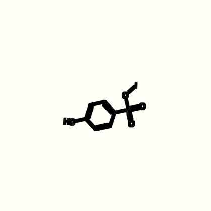 O=S(=O)(OI)c1ccc(O)cc1